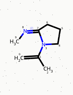 C=C(C)N1CCC/C1=N/C